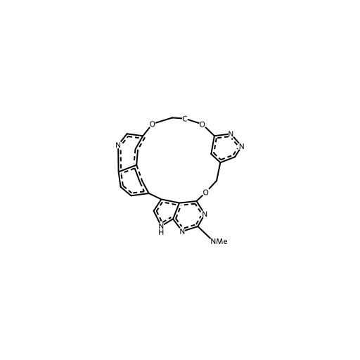 CNc1nc2c3c(c[nH]c3n1)-c1ccc3ncc(cc3c1)OCCOc1cc(cnn1)CO2